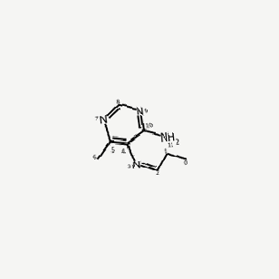 CC/C=N\c1c(C)ncnc1N